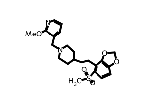 COc1ncccc1CN1CCC(CCc2c(S(C)(=O)=O)ccc3c2OCO3)CC1